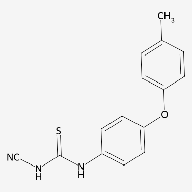 Cc1ccc(Oc2ccc(NC(=S)NC#N)cc2)cc1